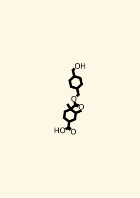 CC1CC(C(=O)O)CCC1(C)C(=O)OCC1CCC(CO)CC1